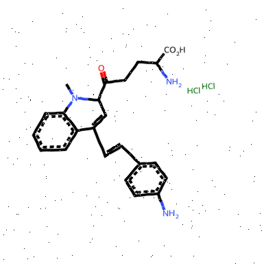 CN1c2ccccc2C(C=Cc2ccc(N)cc2)=CC1C(=O)CCC(N)C(=O)O.Cl.Cl